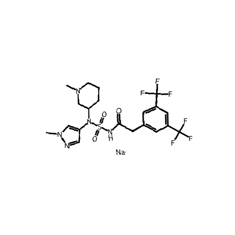 CN1CCCC(N(c2cnn(C)c2)S(=O)(=O)NC(=O)Cc2cc(C(F)(F)F)cc(C(F)(F)F)c2)C1.[Na]